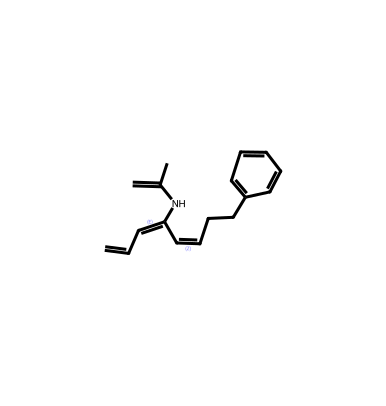 C=C/C=C(\C=C/CCc1ccccc1)NC(=C)C